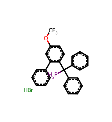 Br.FC(F)(F)Oc1ccc(C(P)(c2ccccc2)c2ccccc2)c(-c2ccccc2)c1